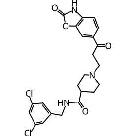 O=C(CCN1CCC(C(=O)NCc2cc(Cl)cc(Cl)c2)CC1)c1ccc2[nH]c(=O)oc2c1